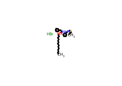 Br.CCCCCCCCCCCCCCOc1ccccc1CC(=O)Nc1ccccc1CN1CSC=C1C